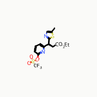 CCOC(=O)CC(c1cccc(OS(=O)(=O)C(F)(F)F)n1)c1ncc(C)s1